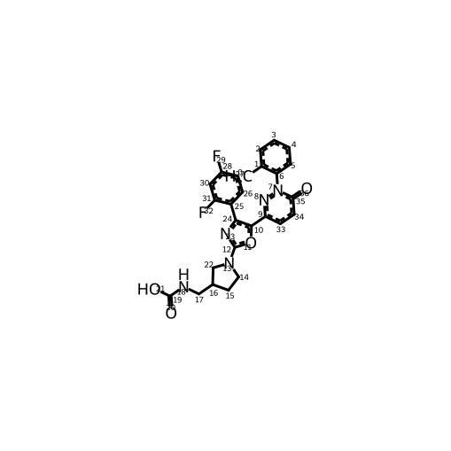 Cc1ccccc1-n1nc(-c2oc(N3CCC(CNC(=O)O)C3)nc2-c2ccc(F)cc2F)ccc1=O